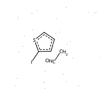 CC=O.Ic1cccs1